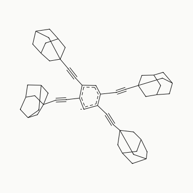 C(#CC12CC3CC(CC(C3)C1)C2)c1[c]c(C#CC23CC4CC(CC(C4)C2)C3)c(C#CC23CC4CC(CC(C4)C2)C3)cc1C#CC12CC3CC(CC(C3)C1)C2